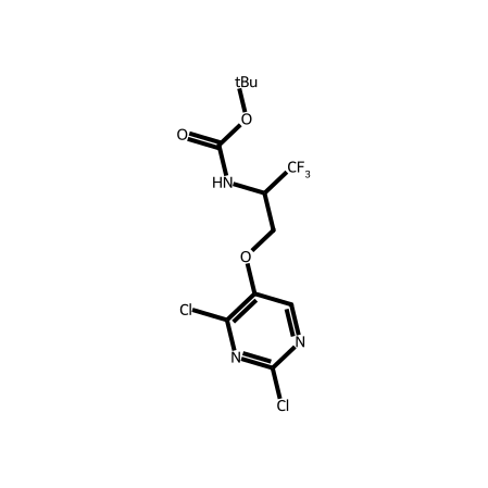 CC(C)(C)OC(=O)NC(COc1cnc(Cl)nc1Cl)C(F)(F)F